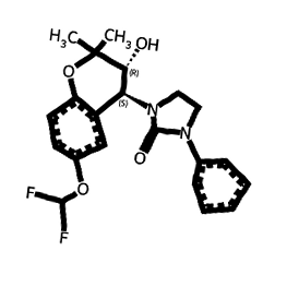 CC1(C)Oc2ccc(OC(F)F)cc2[C@H](N2CCN(c3ccccc3)C2=O)[C@H]1O